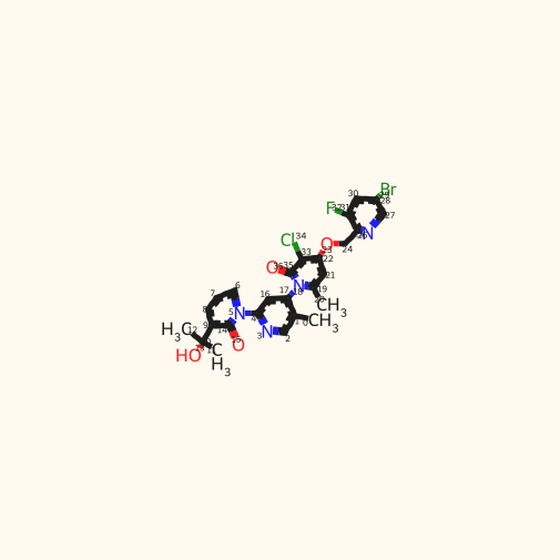 Cc1cnc(-n2cccc(C(C)(C)O)c2=O)cc1-n1c(C)cc(OCc2ncc(Br)cc2F)c(Cl)c1=O